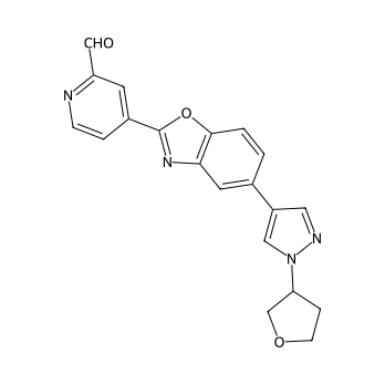 O=Cc1cc(-c2nc3cc(-c4cnn(C5CCOC5)c4)ccc3o2)ccn1